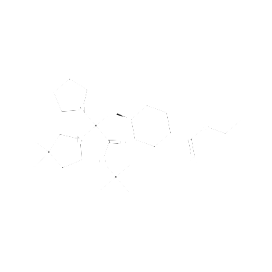 CCOC(=O)[C@H]1CC[C@H](OC(C(=O)OC(C)(C)C)(N2CCCC2)N2CCC(F)(F)C2)CC1